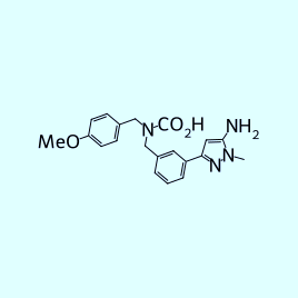 COc1ccc(CN(Cc2cccc(-c3cc(N)n(C)n3)c2)C(=O)O)cc1